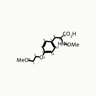 COCCOc1ccc(C[C@H](NOC)C(=O)O)cc1